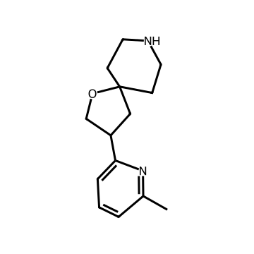 Cc1cccc(C2COC3(CCNCC3)C2)n1